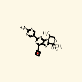 CC1COC(C)(C)c2nc3c(N4CC5CC4C5)nc(-c4cnc(N)nc4)nc3n21